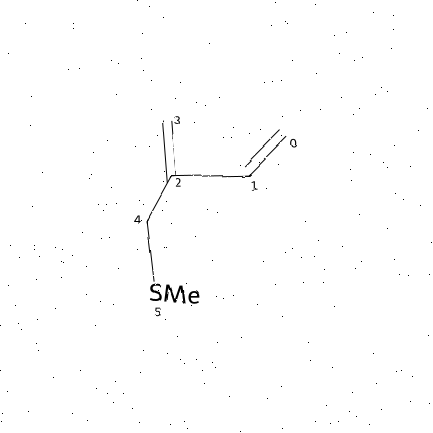 C=CC(=C)CSC